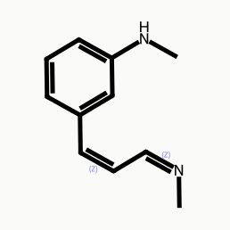 C/N=C\C=C/c1cccc(NC)c1